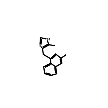 Cc1cc(Cc2nc[nH]c2C)c2ccccc2c1